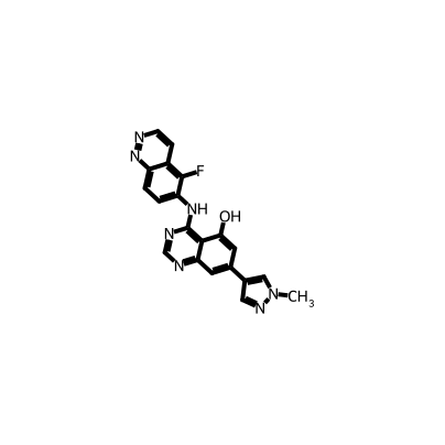 Cn1cc(-c2cc(O)c3c(Nc4ccc5nnccc5c4F)ncnc3c2)cn1